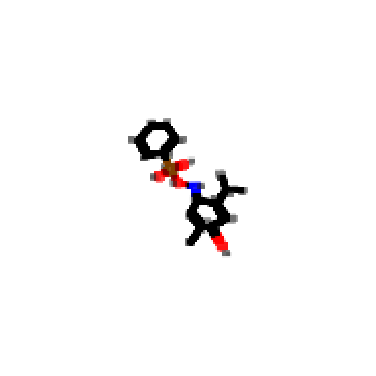 CC1=CC(=NOS(=O)(=O)c2ccccc2)C(C(C)C)=CC1=O